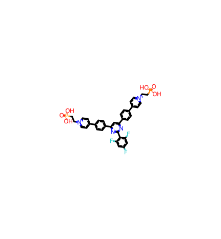 O=P(O)(O)CC[n+]1ccc(-c2ccc(-c3cc(-c4ccc(-c5cc[n+](CCP(=O)(O)O)cc5)cc4)nc(-c4c(F)cc(F)cc4F)n3)cc2)cc1